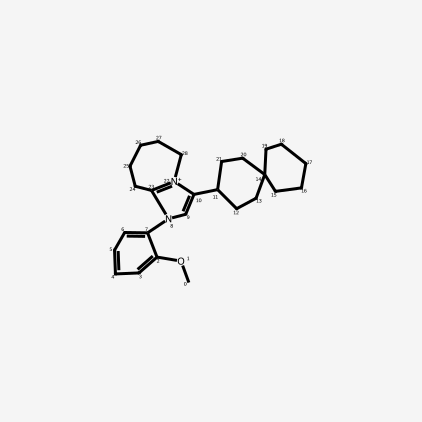 COc1ccccc1-n1cc(C2CCC3(CCCCC3)CC2)[n+]2c1CCCCC2